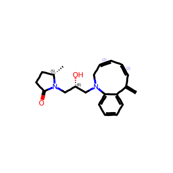 C=C1/C=C\C=C/CN(C[C@@H](O)CN2C(=O)CC[C@@H]2C)c2ccccc21